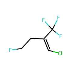 FCCC(=CCl)C(F)(F)F